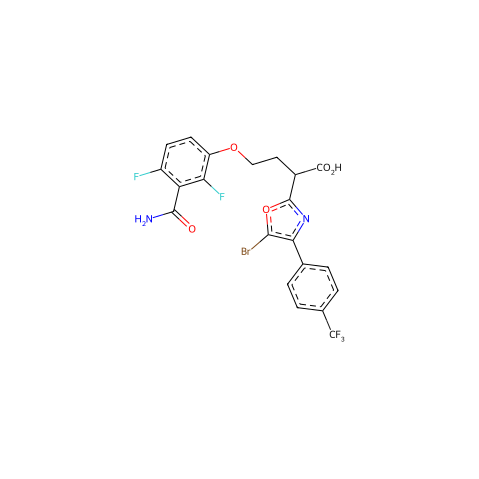 NC(=O)c1c(F)ccc(OCCC(C(=O)O)c2nc(-c3ccc(C(F)(F)F)cc3)c(Br)o2)c1F